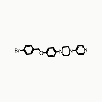 Brc1ccc(COc2ccc(N3CCN(c4ccncc4)CC3)cc2)cc1